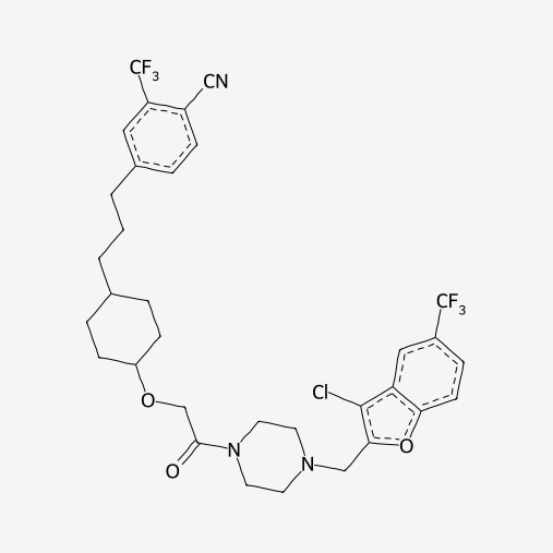 N#Cc1ccc(CCCC2CCC(OCC(=O)N3CCN(Cc4oc5ccc(C(F)(F)F)cc5c4Cl)CC3)CC2)cc1C(F)(F)F